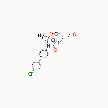 COC(C)(C)ON(C(=O)CCCCCO)c1ccc(-c2ccc(Cl)cc2)cc1